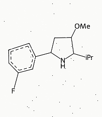 COC1CC(c2cccc(F)c2)NC1C(C)C